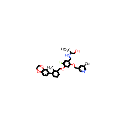 Cc1c(COc2cc(OCc3cncc(C#N)c3)c(CNC(CO)C(=O)O)cc2F)cccc1-c1ccc2c(c1)OCCO2